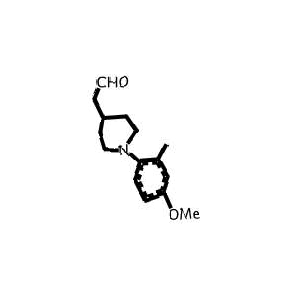 COc1ccc(N2CCC(CC=O)CC2)c(C)c1